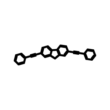 C(#Cc1ccc2c(c1)Cc1cc(C#Cc3ccccc3)ccc1-2)c1ccccc1